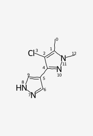 Cc1c(Cl)c(-c2cn[nH]c2)nn1C